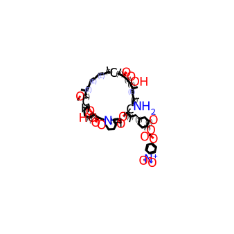 CO[C@H]1C[C@@H]2CC[C@@H](C)[C@@](O)(O2)C(=O)C(=O)N2CCCC[C@H]2C(=O)O[C@H]([C@H](C)C[C@@H]2CC[C@@H](OC(=O)Oc3ccc([N+](=O)[O-])cc3)[C@H](OC)C2)CC(N)[C@H](C)/C=C(\C)[C@@H](O)[C@@H](OC)C(=O)[C@H](C)C[C@H](C)/C=C/C=C/C=C/1C